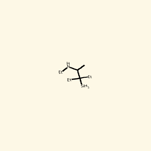 CCNC(C)C([SiH3])(CC)CC